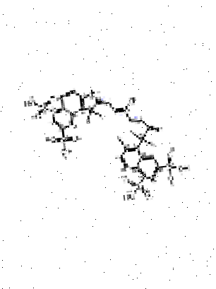 C=C(/C=C/C(Cl)=C/C=C1/Nc2ccc3c(S(=O)(=O)O)cc(S(=O)(=O)O)cc3c2C1(C)C)C(C)(C)c1c(C)ccc2c(S(=O)(=O)O)cc(S(=O)(=O)O)cc12